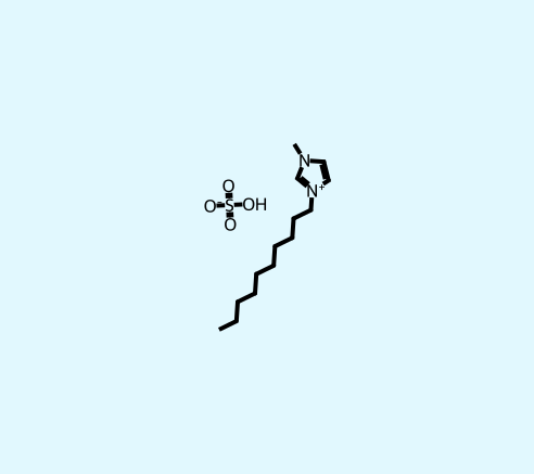 CCCCCCCCCC[n+]1ccn(C)c1.O=S(=O)([O-])O